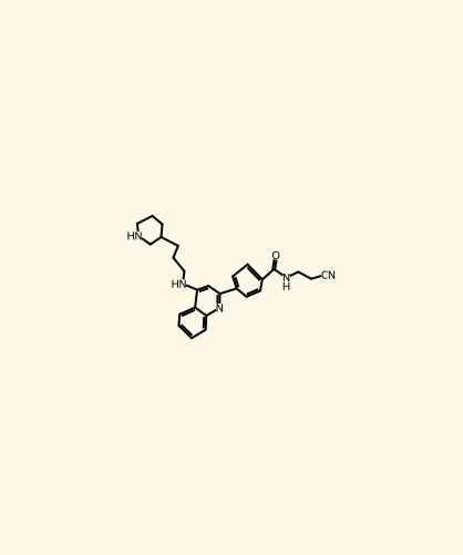 N#CCCNC(=O)c1ccc(-c2cc(NCCCC3CCCNC3)c3ccccc3n2)cc1